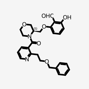 O=Cc1c(O)cccc1OC[C@@H]1COCCN1C(=O)c1cccnc1CCOCc1ccccc1